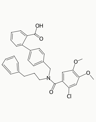 COc1cc(Cl)c(C(=O)N(CCCc2ccccc2)Cc2ccc(-c3ccccc3C(=O)O)cc2)cc1OC